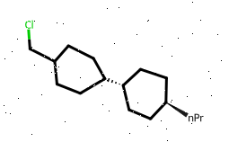 CCC[C@H]1CC[C@H](C2CCC(CCl)CC2)CC1